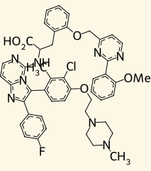 COc1ccccc1-c1nccc(COc2ccccc2CC(Nc2nccc3nc(-c4ccc(F)cc4)c(-c4ccc(OCCN5CCN(C)CC5)c(Cl)c4C)n23)C(=O)O)n1